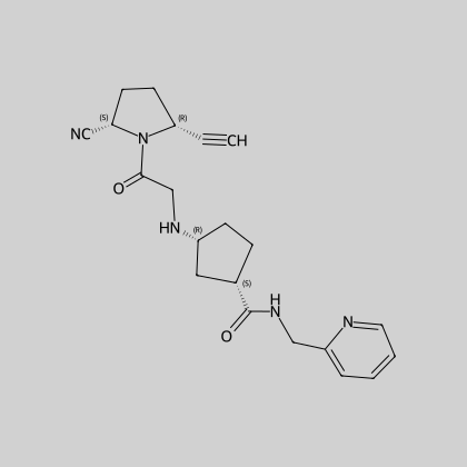 C#C[C@H]1CC[C@@H](C#N)N1C(=O)CN[C@@H]1CC[C@H](C(=O)NCc2ccccn2)C1